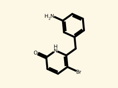 Nc1cccc(Cc2[nH]c(=O)ccc2Br)c1